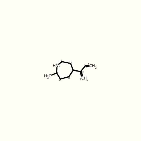 C=CC(=C)C1CCNC(C)CC1